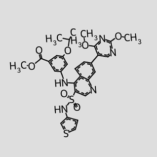 COC(=O)c1cc(Nc2c(S(=O)(=O)Nc3ccsc3)cnc3cc(-c4cnc(OC)nc4OC)ccc23)cc(OC(C)C)c1